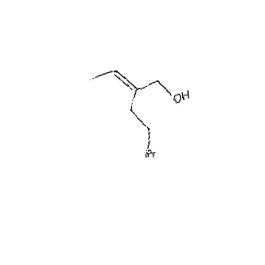 C/C=C(/CO)CCC(C)C